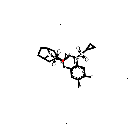 N[C@H](Cc1cc(F)c(F)cc1F)C1CC2CCC(C1)N2S(=O)(=O)CCNS(=O)(=O)C1CC1